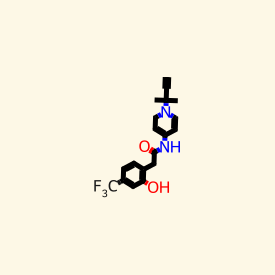 C#CC(C)(C)N1C=CC(NC(=O)Cc2ccc(C(F)(F)F)cc2O)=CC1